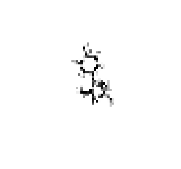 Cc1ccc(-n2nc(C)nc2C)cc1